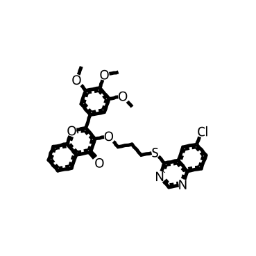 COc1cc(-c2oc3ccccc3c(=O)c2OCCCSc2ncnc3ccc(Cl)cc23)cc(OC)c1OC